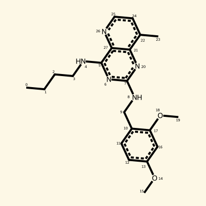 CCCCNc1nc(NCc2ccc(OC)cc2OC)nc2c(C)ccnc12